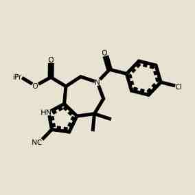 CC(C)OC(=O)C1CN(C(=O)c2ccc(Cl)cc2)CC(C)(C)c2cc(C#N)[nH]c21